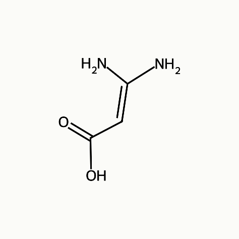 NC(N)=CC(=O)O